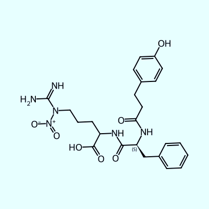 N=C(N)N(CCCC(NC(=O)[C@H](Cc1ccccc1)NC(=O)CCc1ccc(O)cc1)C(=O)O)[N+](=O)[O-]